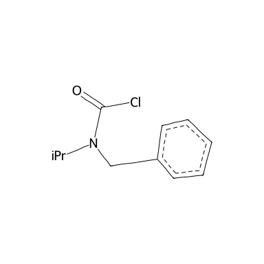 CC(C)N(Cc1ccccc1)C(=O)Cl